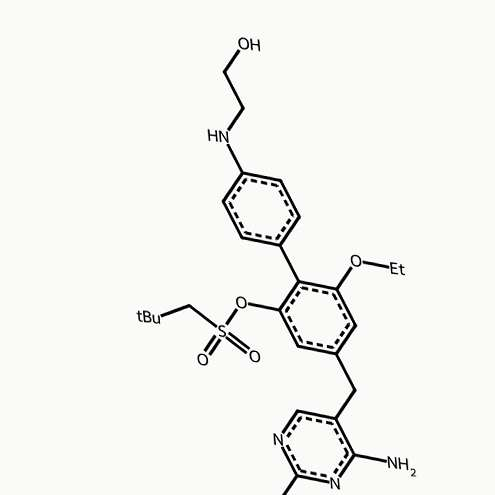 CCOc1cc(Cc2cnc(N)nc2N)cc(OS(=O)(=O)CC(C)(C)C)c1-c1ccc(NCCO)cc1